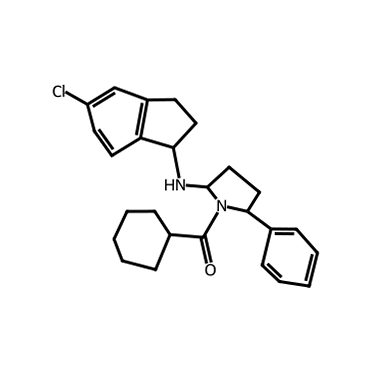 O=C(C1CCCCC1)N1C(NC2CCc3cc(Cl)ccc32)CCC1c1ccccc1